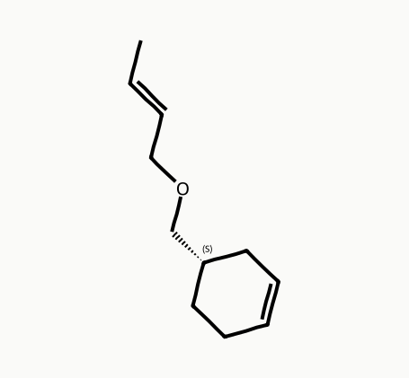 CC=CCOC[C@@H]1CC=CCC1